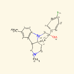 Cc1ccc2c(c1)C1CN(C)CCC1N2CC(C)(O)c1ccc(F)cc1